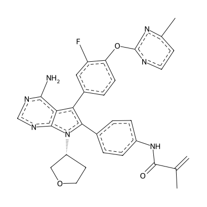 C=C(C)C(=O)Nc1ccc(-c2c(-c3ccc(Oc4nccc(C)n4)c(F)c3)c3c(N)ncnc3n2[C@@H]2CCOC2)cc1